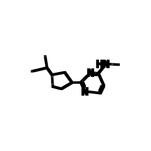 CNc1ccnc(C2CCC(C(C)C)C2)n1